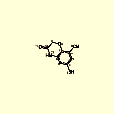 N#Cc1cc(S)cc2c1OCC(=O)N2